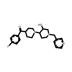 O=C(c1ccc(F)cc1)C1CCN(C2CCN(Cc3cccnc3)CC2O)CC1